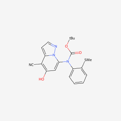 CSc1ccccc1N(C(=O)OC(C)(C)C)c1cc(O)c(C#N)c2ccnn12